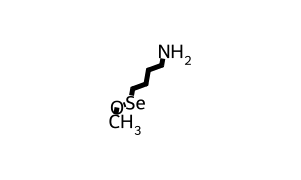 CO[Se]CCCCN